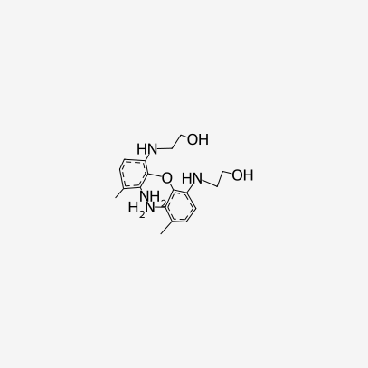 Cc1ccc(NCCO)c(Oc2c(NCCO)ccc(C)c2N)c1N